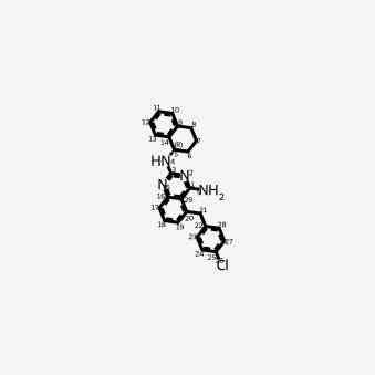 Nc1nc(N[C@@H]2CCCc3ccccc32)nc2cccc(Cc3ccc(Cl)cc3)c12